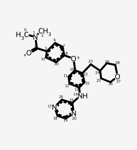 CN(C)C(=O)c1ccc(Oc2ccc(Nc3cnccn3)cc2CC2CCOCC2)cc1